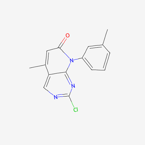 Cc1cccc(-n2c(=O)cc(C)c3cnc(Cl)nc32)c1